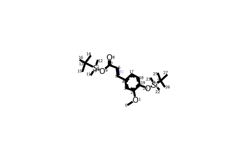 COc1cc(/C=C/C(=O)O[Si](C)(C)C(C)(C)C)ccc1O[Si](C)(C)C(C)(C)C